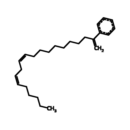 C=C(CCCCCCCC/C=C\C/C=C\CCCCC)c1ccccc1